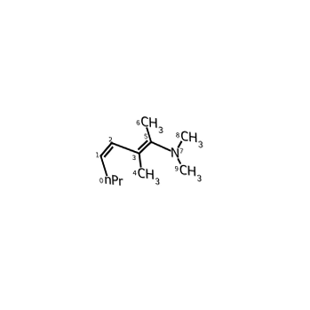 CCC/C=C\C(C)=C(/C)N(C)C